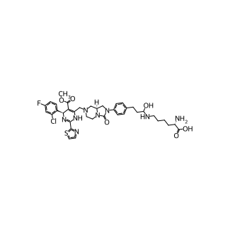 COC(=O)C1=C(CN2CCN3C(=O)N(c4ccc(CCC(O)NCCCC[C@H](N)C(=O)O)cc4)C[C@@H]3C2)NC(c2nccs2)=N[C@H]1c1ccc(F)cc1Cl